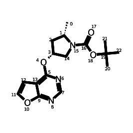 C[C@H]1C[C@@H](Oc2ncnc3occc23)CN1C(=O)OC(C)(C)C